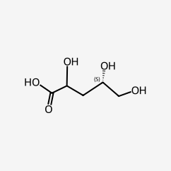 O=C(O)C(O)C[C@H](O)CO